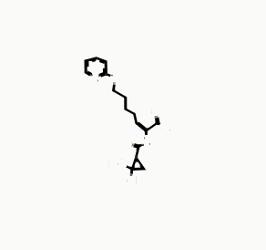 CC1(C)CC1C(=O)N/C(=C/CCCCSc1ccccn1)C(=O)O